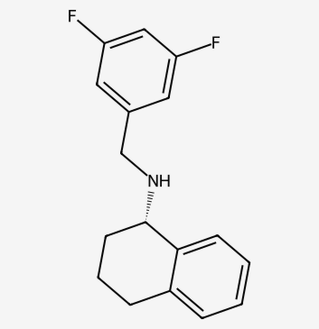 Fc1cc(F)cc(CN[C@H]2CCCc3ccccc32)c1